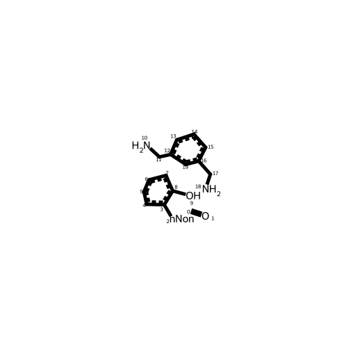 C=O.CCCCCCCCCc1ccccc1O.NCc1cccc(CN)c1